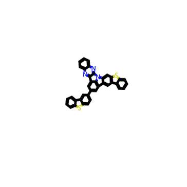 c1ccc2nc3c(nc2c1)c1cc(-c2ccc4sc5ccccc5c4c2)cc2c4cc5c(cc4n3c21)sc1ccccc15